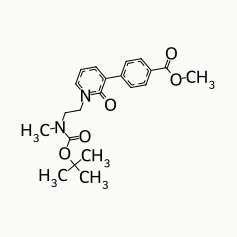 COC(=O)c1ccc(-c2cccn(CCN(C)C(=O)OC(C)(C)C)c2=O)cc1